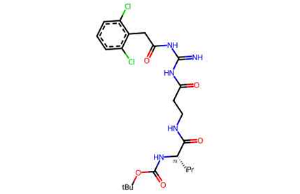 CC(C)[C@H](NC(=O)OC(C)(C)C)C(=O)NCCC(=O)NC(=N)NC(=O)Cc1c(Cl)cccc1Cl